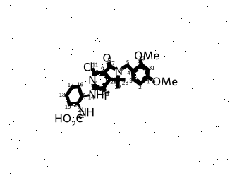 COc1ccc(CN2C(=O)c3c(Cl)nc(N[C@@H]4CCCC[C@@H]4NC(=O)O)c(F)c3C2(C)C)c(OC)c1